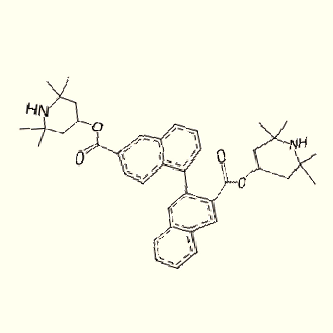 CC1(C)CC(OC(=O)c2ccc3c(-c4cc5ccccc5cc4C(=O)OC4CC(C)(C)NC(C)(C)C4)cccc3c2)CC(C)(C)N1